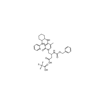 Cc1cn(CC(CC(=O)O)NC(=O)OCc2ccccc2)c(=O)nc1NC1CCCCC1Nc1ccccn1.O=C(O)C(F)(F)F